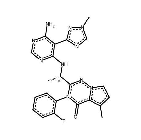 Cc1ccn2nc([C@H](C)Nc3ncnc(N)c3-c3ncn(C)n3)n(-c3ccccc3F)c(=O)c12